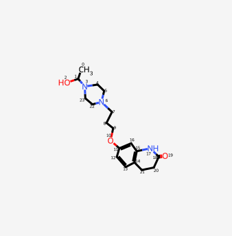 CC(O)N1CCN(CCCOc2ccc3c(c2)NC(=O)CC3)CC1